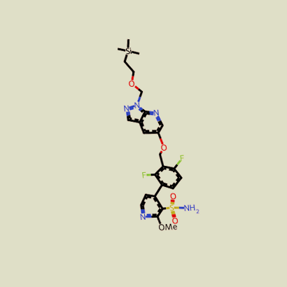 COc1nccc(-c2ccc(F)c(COc3cnc4c(cnn4COCC[Si](C)(C)C)c3)c2F)c1S(N)(=O)=O